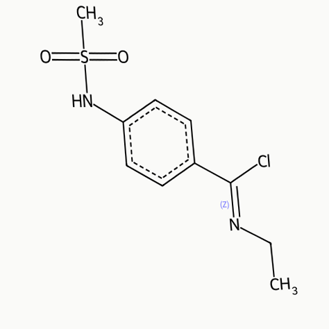 CC/N=C(\Cl)c1ccc(NS(C)(=O)=O)cc1